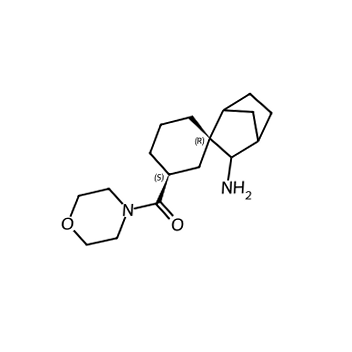 NC1C2CCC(C2)[C@]12CCC[C@H](C(=O)N1CCOCC1)C2